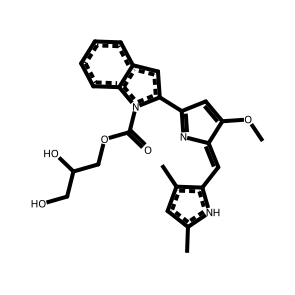 COC1=CC(c2cc3ccccc3n2C(=O)OCC(O)CO)=NC1=Cc1[nH]c(C)cc1C